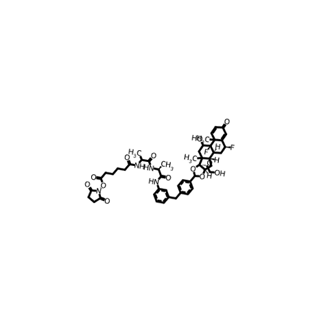 CC(NC(=O)CCCCC(=O)ON1C(=O)CCC1=O)C(=O)N[C@@H](C)C(=O)Nc1cccc(Cc2ccc(C3O[C@@H]4C[C@H]5[C@@H]6C[C@H](F)C7=CC(=O)C=CC7(C)[C@@]6(F)C(O)CC5(C)[C@]4(C(=O)CO)O3)cc2)c1